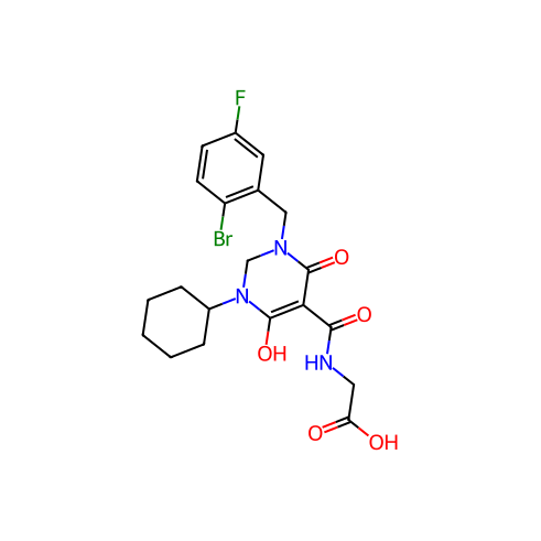 O=C(O)CNC(=O)C1=C(O)N(C2CCCCC2)CN(Cc2cc(F)ccc2Br)C1=O